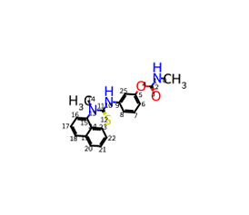 CNC(=O)Oc1cccc(NC(=S)N(C)c2cccc3ccccc23)c1